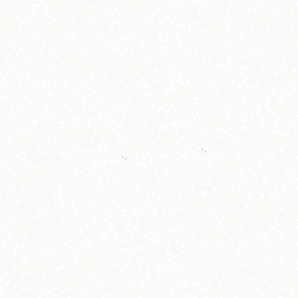 Cc1nc(-c2ccc(OCC(C)C)c(C#N)c2)sc1C=O